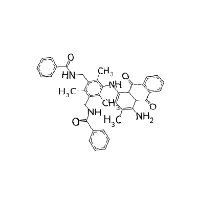 CC1=C(N)C2C(=O)c3ccccc3C(=O)C2C(Nc2c(C)c(CNC(=O)c3ccccc3)c(C)c(CNC(=O)c3ccccc3)c2C)=C1